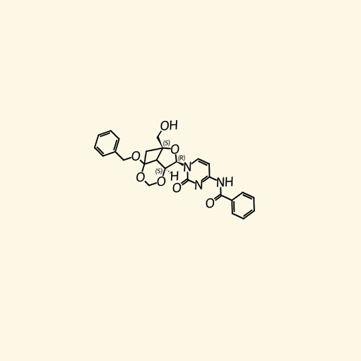 O=C(Nc1ccn([C@@H]2O[C@@]3(CO)CC4(OCc5ccccc5)OCO[C@H]2C43)c(=O)n1)c1ccccc1